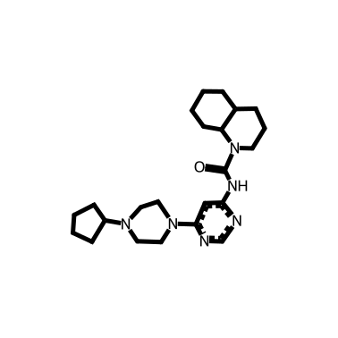 O=C(Nc1cc(N2CCN(C3CCCC3)CC2)ncn1)N1CCCC2CCCCC21